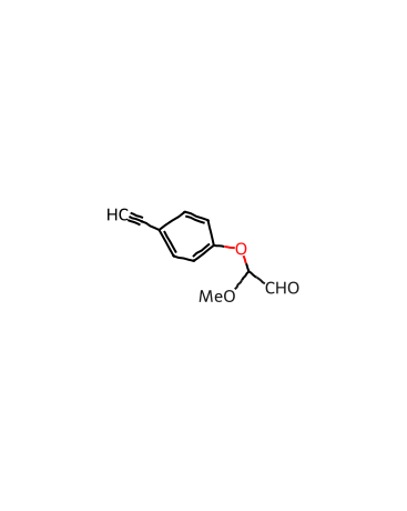 C#Cc1ccc(OC(C=O)OC)cc1